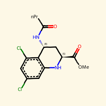 CCCC(=O)N[C@@H]1C[C@@H](C(=O)OC)Nc2cc(Cl)cc(Cl)c21